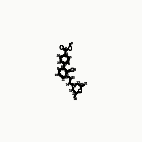 COC(=O)c1ccc(-c2cccn(CCN3CC(C)OC(C)C3)c2=O)cc1